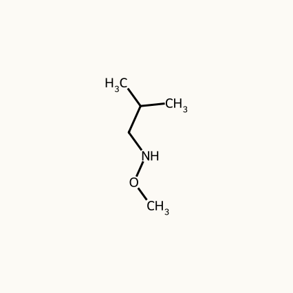 CONCC(C)C